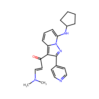 CN(C)C=CC(=O)c1c(-c2ccncc2)nn2c(NC3CCCC3)cccc12